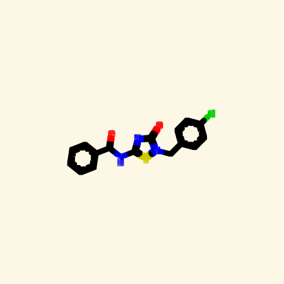 O=C(Nc1nc(=O)n(Cc2ccc(Cl)cc2)s1)c1ccccc1